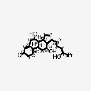 CC(C)C(O)CC[C@@H](C)[C@H]1CC[C@H]2[C@@H]3[C@H](O)CC4=CC(=O)CC[C@]4(C)[C@H]3C[C@H](O)[C@]12C